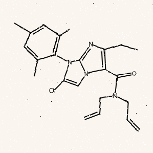 C=CCN(CC=C)C(=O)c1c(CC)nc2n(-c3c(C)cc(C)cc3C)c(Cl)cn12